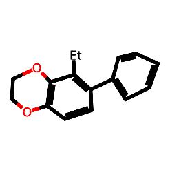 CCc1c(-c2ccccc2)ccc2c1OCCO2